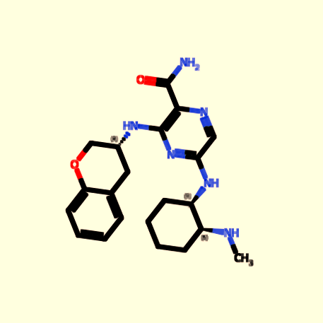 CN[C@H]1CCCC[C@H]1Nc1cnc(C(N)=O)c(N[C@H]2COc3ccccc3C2)n1